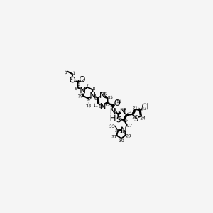 CCOC(=O)CN1CCN(c2cnc(C(=O)Nc3nc(-c4cc(Cl)cs4)c(CN4CCC[C@H]4C)s3)cn2)[C@H](C)C1